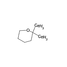 [GeH3][C]1([GeH3])CCCCO1